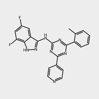 Cc1ccccc1-c1nc(Nc2n[nH]c3c(F)cc(F)cc23)nc(-c2ccncc2)n1